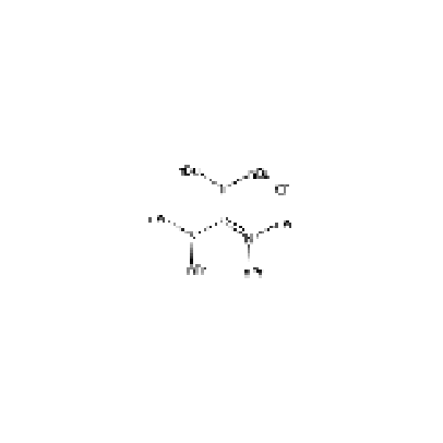 CCCCN(CCCC)C(N(CCC)CCC)=[N+](CCC)CCC.[Cl-]